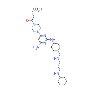 Nc1cc(N2CCN(C(=O)CCC(=O)O)CC2)nc(NC2CCC(CNCCCNC3CCCCC3)CC2)n1